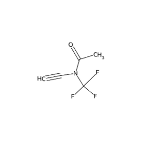 C#CN(C(C)=O)C(F)(F)F